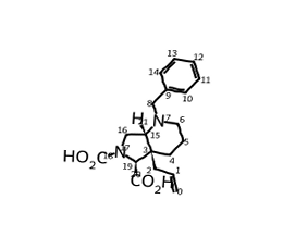 C=CC[C@]12CCCN(Cc3ccccc3)[C@H]1CN(C(=O)O)[C@@H]2C(=O)O